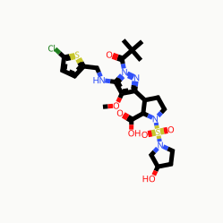 COc1c(C2CCN(S(=O)(=O)N3CCC(O)C3)C2C(=O)O)nn(C(=O)C(C)(C)C)c1NCc1ccc(Cl)s1